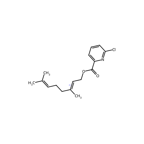 CC(C)=CCC/C(C)=C/COC(=O)c1cccc(Cl)n1